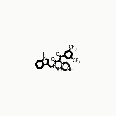 CC(C)N(Cc1c[nH]c2ccccc12)C(=O)C(C(=O)c1cc(C(F)(F)F)cc(C(F)(F)F)c1)N1CCNCC1